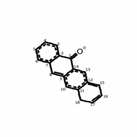 O=C1c2ccccc2C=c2cc3c(cc21)=CC=CC3